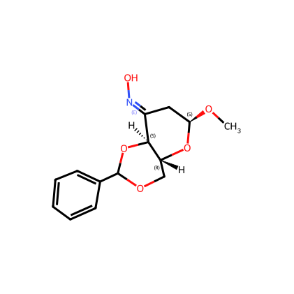 CO[C@@H]1C/C(=N\O)[C@@H]2OC(c3ccccc3)OC[C@H]2O1